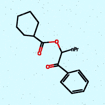 CCCC(OC(=O)C1CCCCC1)C(=O)c1ccccc1